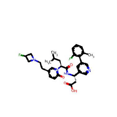 Cc1cccc(F)c1-c1cncc([C@H](CC(=O)O)NC(=O)[C@H](CC(C)C)n2cc(CCN3CC(F)C3)ccc2=O)c1